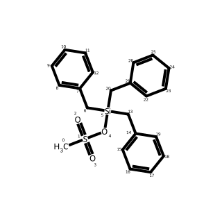 CS(=O)(=O)O[Si](Cc1ccccc1)(Cc1ccccc1)Cc1ccccc1